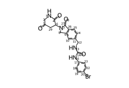 O=C1CNC(=O)C(N2Cc3cc(CNC(=O)Nc4ccc(Br)cc4)ccc3C2=O)C1